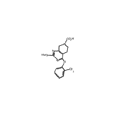 COc1nc2c(c(Oc3ccccc3C(F)(F)F)n1)CCN(C(=O)O)C2